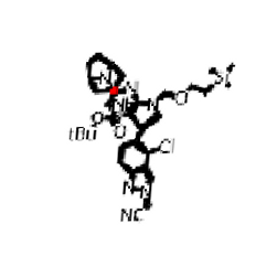 CC(C)(C)OC(=O)NC1CC2CCC(C1)N2c1cnc2c(-c3ccc4nn(CC#N)cc4c3Cl)cn(COCC[Si](C)(C)C)c2n1